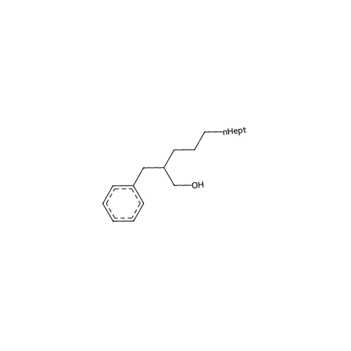 CCCCCCCCCCC(CO)Cc1ccccc1